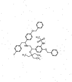 CC[Si](CC)(CC)OC(CNC(Cc1ccc(F)cc1)c1ccc(OCc2ccccc2)cc1)c1ccc(OCc2ccccc2)c(NS(C)(=O)=O)c1